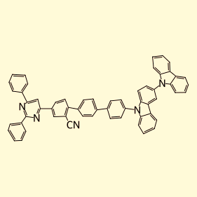 N#Cc1cc(-c2cc(-c3ccccc3)nc(-c3ccccc3)n2)ccc1-c1ccc(-c2ccc(-n3c4ccccc4c4cc(-n5c6ccccc6c6ccccc65)ccc43)cc2)cc1